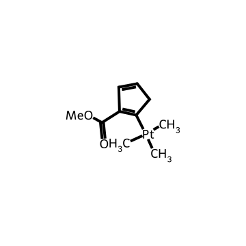 COC(=O)C1=[C]([Pt]([CH3])([CH3])[CH3])CC=C1